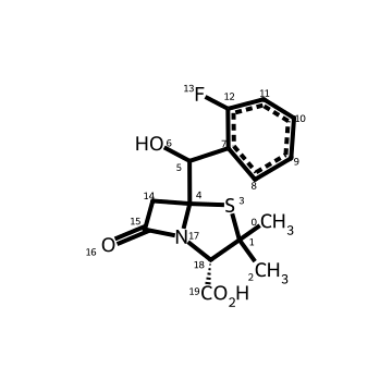 CC1(C)SC2(C(O)c3ccccc3F)CC(=O)N2[C@H]1C(=O)O